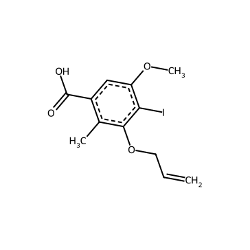 C=CCOc1c(C)c(C(=O)O)cc(OC)c1I